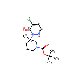 CC(C)(C)OC(=O)N1CCC[C@](C)(n2nccc(Cl)c2=O)C1